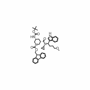 COCCCC(c1c[nH]c2ccccc12)N(C(=O)[C@H]1C[C@@H](NC(=O)OC(C)(C)C)CN(C(=O)OCC2c3ccccc3-c3ccccc32)C1)C1CC1